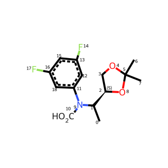 CC([C@H]1COC(C)(C)O1)N(C(=O)O)c1cc(F)cc(F)c1